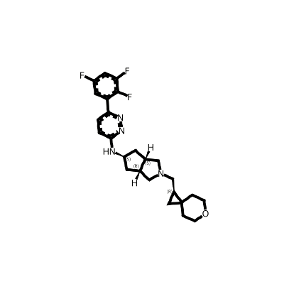 Fc1cc(F)c(F)c(-c2ccc(N[C@H]3C[C@@H]4CN(C[C@@H]5CC56CCOCC6)C[C@@H]4C3)nn2)c1